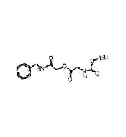 CC(C)(C)OC(=O)NCC(=O)OCC(=O)NCc1ccccc1